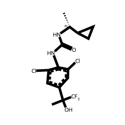 C[C@@H](NC(=O)Nc1c(Cl)cc(C(C)(O)C(F)(F)F)cc1Cl)C1CC1